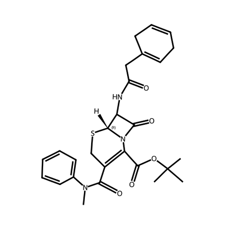 CN(C(=O)C1=C(C(=O)OC(C)(C)C)N2C(=O)C(NC(=O)CC3=CCC=CC3)[C@H]2SC1)c1ccccc1